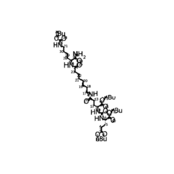 CCCCOC(=O)CC[C@H](NC(=O)N[C@@H](CCC(=O)NCCCCCCCC(=O)N[C@@H](CCCCNC(=O)OC(C)(C)C)C(N)=O)C(=O)OCCCC)C(=O)OCCCC